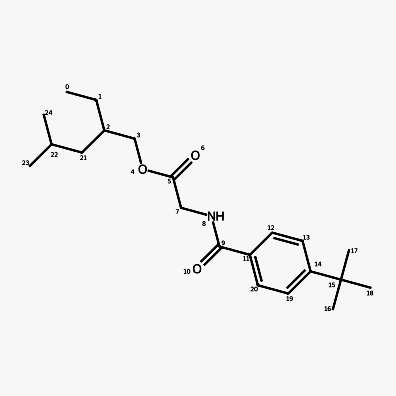 CCC(COC(=O)CNC(=O)c1ccc(C(C)(C)C)cc1)CC(C)C